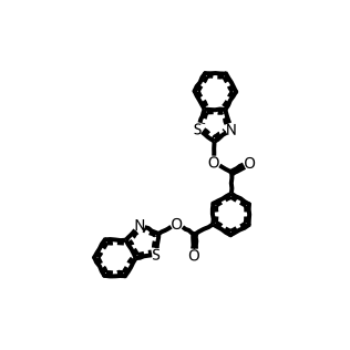 O=C(Oc1nc2ccccc2s1)c1cccc(C(=O)Oc2nc3ccccc3s2)c1